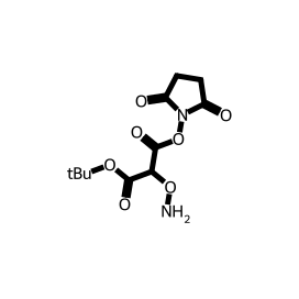 CC(C)(C)OC(=O)C(ON)C(=O)ON1C(=O)CCC1=O